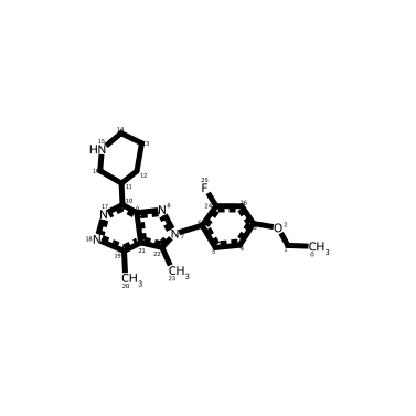 CCOc1ccc(-n2nc3c(C4CCCNC4)nnc(C)c3c2C)c(F)c1